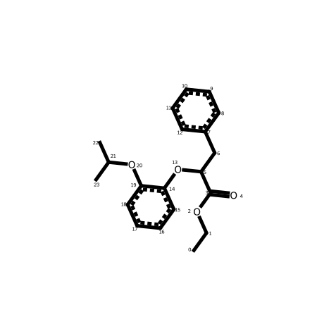 CCOC(=O)C(Cc1ccccc1)Oc1ccccc1OC(C)C